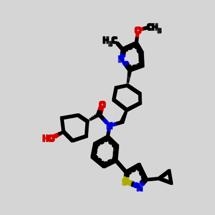 COc1ccc([C@H]2CC[C@H](CN(c3cccc(-c4cc(C5CC5)ns4)c3)C(=O)[C@H]3CC[C@H](O)CC3)CC2)nc1C